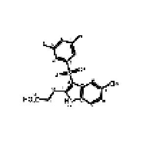 Cc1cc(C)cc(S(=O)(=O)c2c(CCC(=O)O)[nH]c3ccc(Cl)cc23)c1